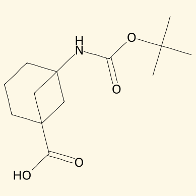 CC(C)(C)OC(=O)NC12CCCC(C(=O)O)(C1)C2